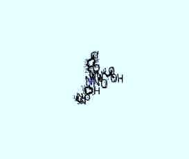 O=C(O)CCn1c(=O)[nH]/c(=N\c2ccc(Oc3ncccn3)cc2)n(Cc2ccc(Cl)cc2)c1=O